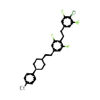 CCc1ccc(C2CCC(CCc3cc(F)c(CCc4cc(F)c(Cl)c(F)c4)c(F)c3)CC2)cc1